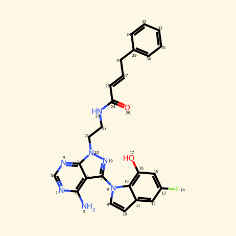 Nc1ncnc2c1c(-n1ccc3cc(F)cc(O)c31)nn2CCNC(=O)C=CCc1ccccc1